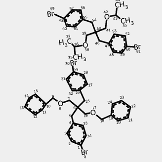 Brc1ccc(CC(COCc2ccccc2)(COCc2ccccc2)Cc2ccc(Br)cc2)cc1.CC(C)OCC(COC(C)C)(Cc1ccc(Br)cc1)Cc1ccc(Br)cc1